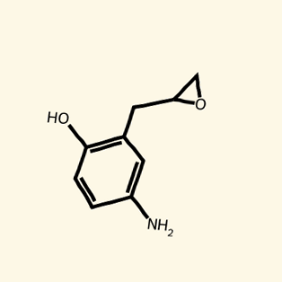 Nc1ccc(O)c(CC2CO2)c1